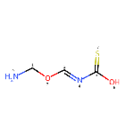 NCOC=NC(O)=S